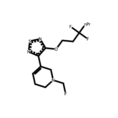 CCCC(F)(F)CCOc1nsnc1C1=CCCN(CF)C1